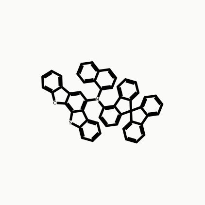 c1ccc2c(c1)-c1ccccc1C21c2ccccc2-c2c(N(c3cccc4ccccc34)c3cc4c5ccccc5oc4c4sc5ccccc5c34)cccc21